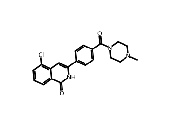 CN1CCN(C(=O)c2ccc(-c3cc4c(Cl)cccc4c(=O)[nH]3)cc2)CC1